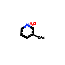 CC(=O)Oc1cccnc1.O